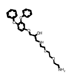 NCCOCCOCCNCC(O)COc1ccc(Oc2ccccc2)c(Oc2ccccc2)c1